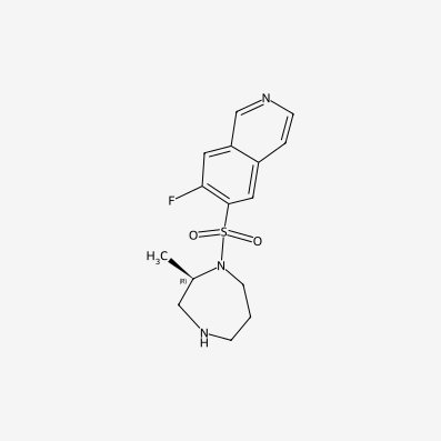 C[C@@H]1CNCCCN1S(=O)(=O)c1cc2ccncc2cc1F